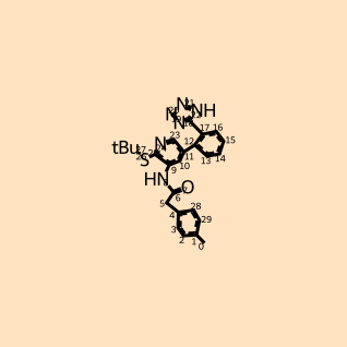 Cc1ccc(CC(=O)Nc2cc(-c3ccccc3-c3nnn[nH]3)cnc2SC(C)(C)C)cc1